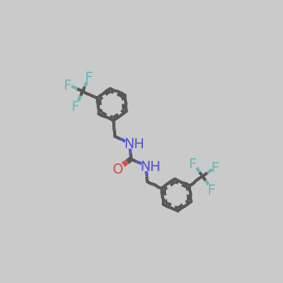 O=C(NCc1cccc(C(F)(F)F)c1)NCc1cccc(C(F)(F)F)c1